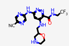 N#Cc1cnc(Nc2cc(NCC3CNCCO3)c(C(=O)NCC(F)(F)F)nn2)cn1